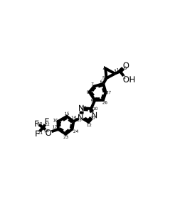 O=C(O)C1CC1c1ccc(-c2ncn(-c3ccc(OC(F)(F)F)cc3)n2)cc1